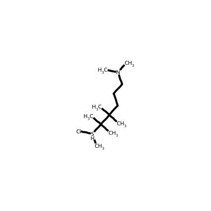 CN(C)CCCC(C)(C)C(C)(C)[SH](C)Cl